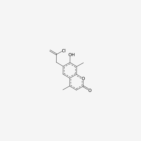 C=C(Cl)Cc1cc2c(C)cc(=O)oc2c(C)c1O